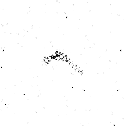 CCCCCCCCCCCCc1ccc(S(=O)(=O)ON=Cc2ccccc2)cc1